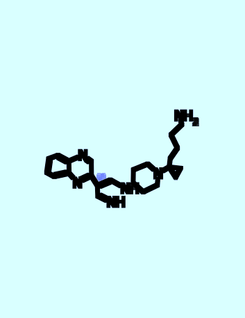 N=C/C(=C\NC1CCN(C2(CCCCN)CC2)CC1)c1cnc2ccccc2n1